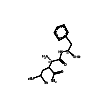 CCCCC(CC)CC(C(N)=O)[C@H](N)C(=O)N[C@H]([C]=O)Cc1ccccc1